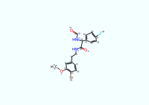 COc1cc(CCNC(=O)C(NC=O)c2ccc(F)cc2)ccc1Br